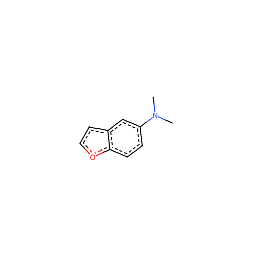 CN(C)c1ccc2occc2c1